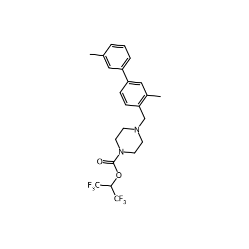 Cc1cccc(-c2ccc(CN3CCN(C(=O)OC(C(F)(F)F)C(F)(F)F)CC3)c(C)c2)c1